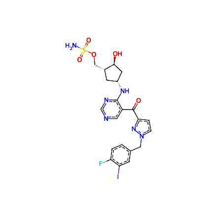 NS(=O)(=O)OC[C@H]1C[C@@H](Nc2ncncc2C(=O)c2ccn(Cc3ccc(F)c(I)c3)n2)C[C@@H]1O